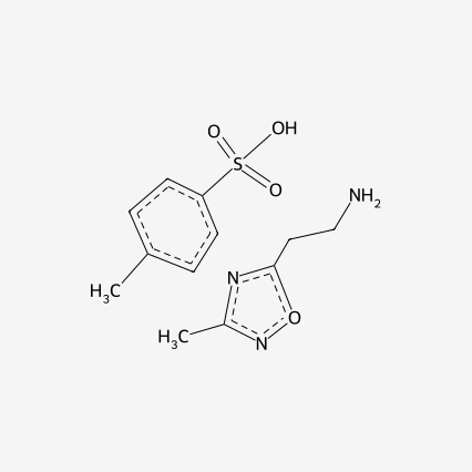 Cc1ccc(S(=O)(=O)O)cc1.Cc1noc(CCN)n1